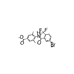 COC(=O)c1cc(C)c(NC(=O)c2cc(Br)ccc2C(F)(F)F)c(C)c1